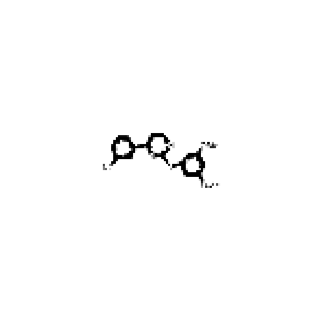 COc1cc(Nc2nccc(-c3cccc(C#N)c3)n2)cc(OC)c1